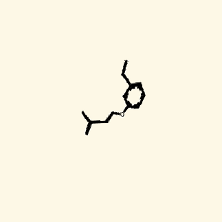 CCc1cccc(OCCC(C)C)c1